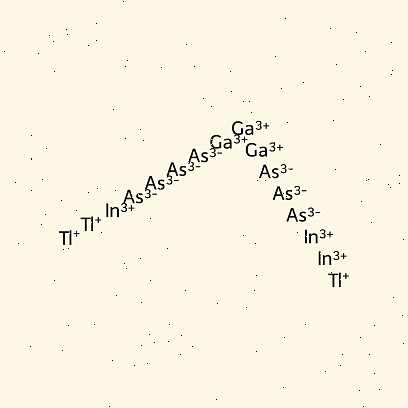 [As-3].[As-3].[As-3].[As-3].[As-3].[As-3].[As-3].[Ga+3].[Ga+3].[Ga+3].[In+3].[In+3].[In+3].[Tl+].[Tl+].[Tl+]